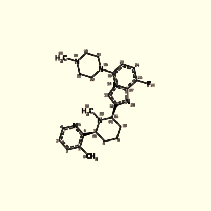 Cc1cccnc1[C@@H]1CCC[C@H](c2cn3c(N4CCN(C)CC4)ccc(F)c3n2)N1C